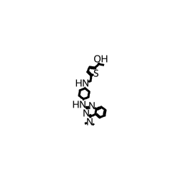 CC(O)c1ccc(CN[C@H]2CC[C@@H](Nc3nc(N(C)C)c4ccccc4n3)CC2)s1